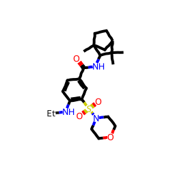 CCNc1ccc(C(=O)NC2C3(C)CCC(C3)C2(C)C)cc1S(=O)(=O)N1CCOCC1